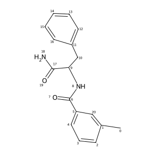 Cc1cccc(C(=O)NC(Cc2ccccc2)C(N)=O)c1